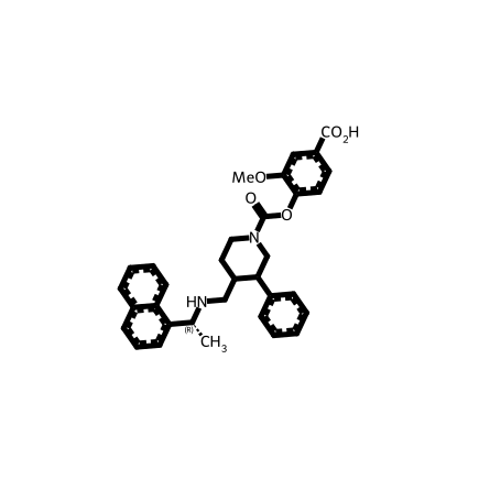 COc1cc(C(=O)O)ccc1OC(=O)N1CCC(CN[C@H](C)c2cccc3ccccc23)C(c2ccccc2)C1